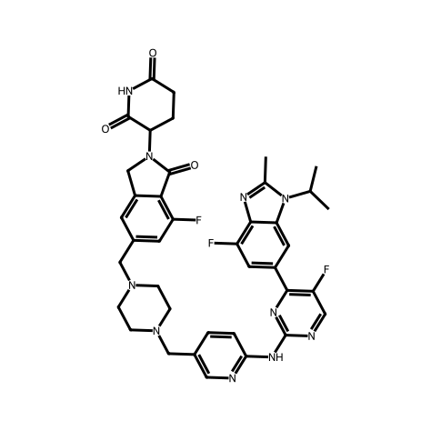 Cc1nc2c(F)cc(-c3nc(Nc4ccc(CN5CCN(Cc6cc(F)c7c(c6)CN(C6CCC(=O)NC6=O)C7=O)CC5)cn4)ncc3F)cc2n1C(C)C